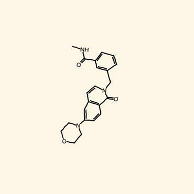 CNC(=O)c1cccc(Cn2ccc3cc(N4CCOCC4)ccc3c2=O)c1